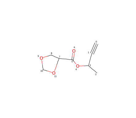 C#CC(C)OC(=O)C1COCO1